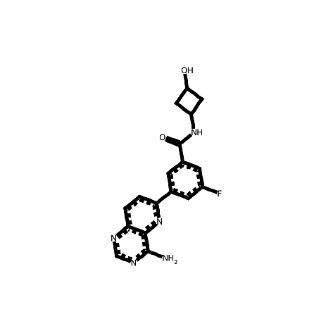 Nc1ncnc2ccc(-c3cc(F)cc(C(=O)NC4CC(O)C4)c3)nc12